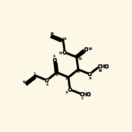 C=COC(=O)C(OC=O)C(OC=O)C(=O)OC=C